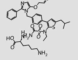 CCN(c1sc(CC(C)C)cc1-c1ccc(Cn2c(OCC=O)cnc2-c2ccccc2)cc1)S(=O)(=O)C(N)=O.NCCCC[C@H](N)C(=O)O